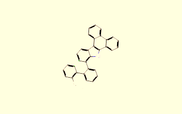 O=[N+]([O-])c1cccc(Cl)c1-c1ccccc1-c1cccc2c1[nH]c1c3ccccc3c3ccccc3c21